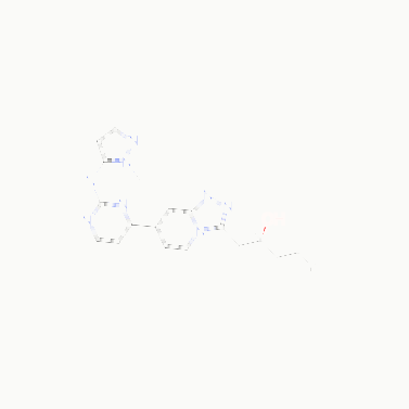 Cn1nccc1Nc1nccc(-c2ccn3c(C[C@@H](O)CCC(F)(F)F)nnc3c2)n1